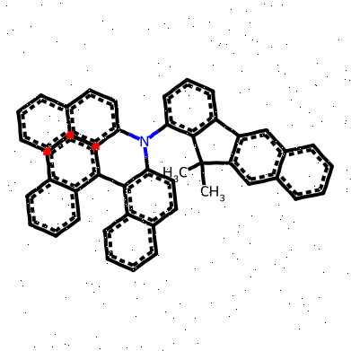 CC1(C)c2cc3ccccc3cc2-c2cccc(N(c3ccc4ccccc4c3)c3ccc4ccccc4c3-c3cccc4ccccc34)c21